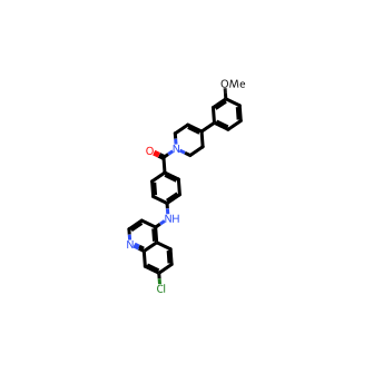 COc1cccc(C2=CCN(C(=O)c3ccc(Nc4ccnc5cc(Cl)ccc45)cc3)CC2)c1